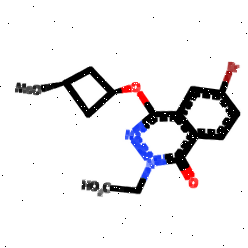 CO[C@H]1C[C@@H](Oc2nn(CC(=O)O)c(=O)c3ccc(Br)cc23)C1